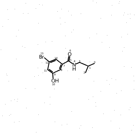 CC(C)CNC(=O)c1cc(O)cc(Br)c1